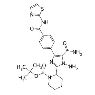 CC(C)(C)OC(=O)N1CCCCC1c1nc(-c2ccc(C(=O)Nc3nccs3)cc2)c(C(N)=O)n1N